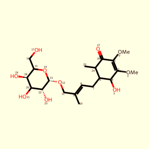 COC1=C(OC)C(O)C(C/C=C(\C)CO[C@H]2OC(CO)[C@H](O)C(O)[C@H]2O)C(C)C1=O